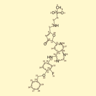 CS(=O)(=O)CCNCC1=CC(=O)C(c2cc3c(Nc4ccc(OCc5ccccc5)c(F)c4)ncnc3cn2)O1